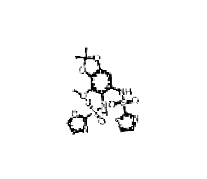 COc1c(NS(=O)(=O)c2ncco2)c(NS(=O)(=O)c2nccs2)cc2c1OC(C)(C)O2